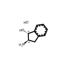 Cl.N[C@@H]1Cc2ccccc2[C@H]1O